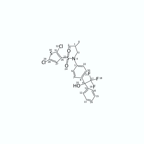 CC(C)CN(c1ccc(C(O)(c2ccccc2)C(F)(F)F)cc1)S(=O)(=O)c1cc(Cl)sc1Cl